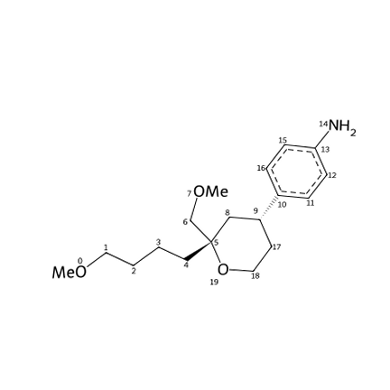 COCCCC[C@@]1(COC)C[C@H](c2ccc(N)cc2)CCO1